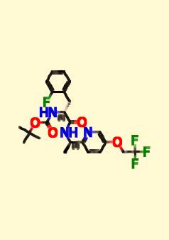 C[C@@H](NC(=O)[C@@H](Cc1ccccc1F)NC(=O)OC(C)(C)C)c1ccc(OCC(F)(F)F)cn1